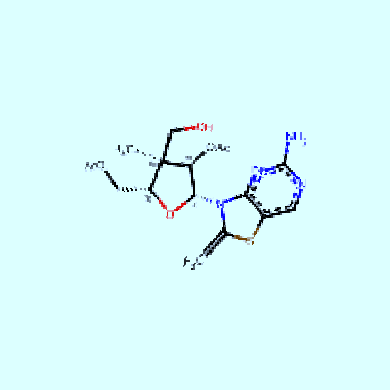 C=C1Sc2cnc(N)nc2N1[C@@H]1O[C@H](COC(C)=O)[C@@](C)(CO)[C@H]1OC(C)=O